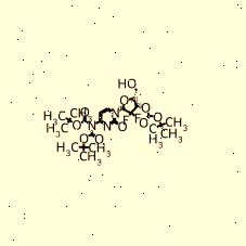 CC(C)(C)OC(=O)O[C@@H]1[C@@H](CO)O[C@@H](n2ccc(N(C(=O)OC(C)(C)C)C(=O)OC(C)(C)C)nc2=O)C1(F)F